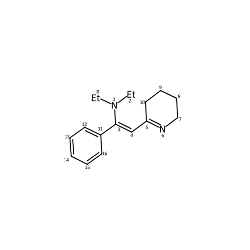 CCN(CC)C(=CC1=NCCCC1)c1ccccc1